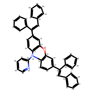 C(=C(c1ccccc1)c1ccc2c(c1)Oc1cc(C(=Cc3ccccc3)c3ccccc3)ccc1N2c1ccccn1)c1ccccc1